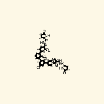 COc1nc(-c2cccc(-c3cc(Cl)cc(-c4ccn5c(=O)c(CNC[C@@H]6CCC(=O)N6)cnc5c4)c3Cl)c2Cl)ccc1CNC[C@H]1CCC(=O)N1